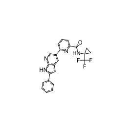 O=C(NC1(C(F)(F)F)CC1)c1cccc(-c2cnc3[nH]c(-c4ccccc4)cc3c2)n1